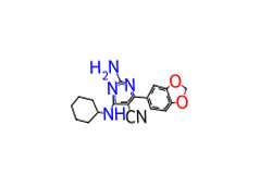 N#Cc1c(NC2CCCCC2)nc(N)nc1-c1ccc2c(c1)OCO2